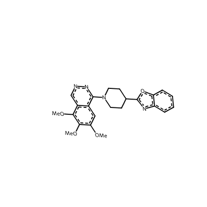 COc1cc2c(N3CCC(c4nc5ccccc5o4)CC3)nncc2c(OC)c1OC